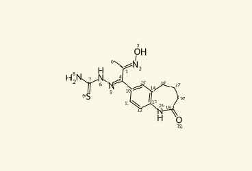 CC(=NO)C(=NNC(N)=S)c1ccc2c(c1)CCCC(=O)N2